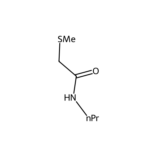 CCCNC(=O)CSC